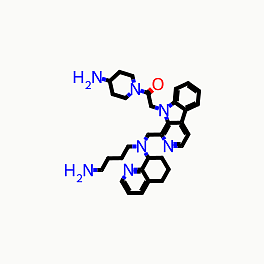 NCCCCN(Cc1nccc2c3ccccc3n(CC(=O)N3CCC(N)CC3)c12)C1CCCc2cccnc21